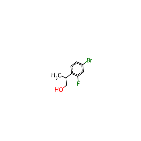 CC(CO)c1ccc(Br)cc1F